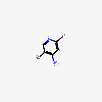 N#Cc1cnc(I)cc1N